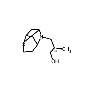 C[C@@H](CO)CN1C2CC3CC1CC(C2)O3